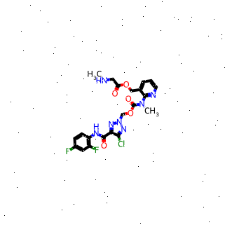 CNCC(=O)OCc1cccnc1N(C)C(=O)OCn1nc(Cl)c(C(=O)Nc2ccc(F)cc2F)n1